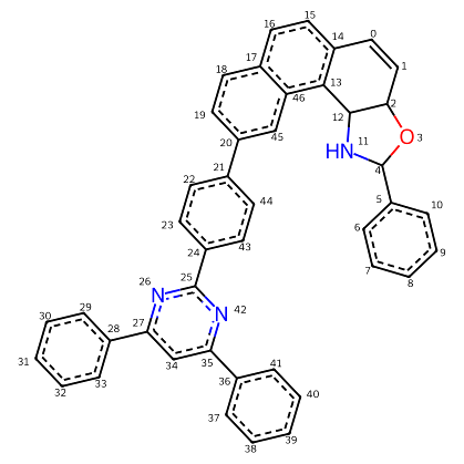 C1=CC2OC(c3ccccc3)NC2c2c1ccc1ccc(-c3ccc(-c4nc(-c5ccccc5)cc(-c5ccccc5)n4)cc3)cc21